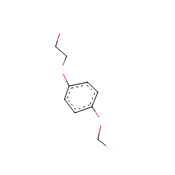 [CH2]COc1ccc(OCC[O])cc1